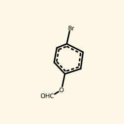 O=COc1ccc(Br)cc1